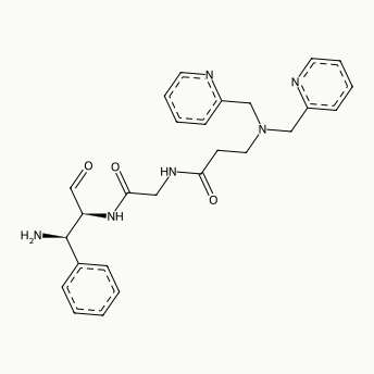 N[C@H](c1ccccc1)[C@@H](C=O)NC(=O)CNC(=O)CCN(Cc1ccccn1)Cc1ccccn1